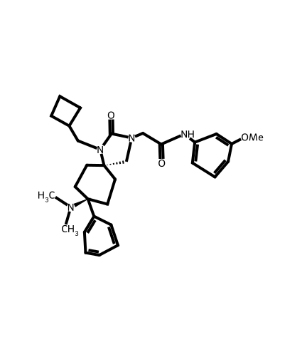 COc1cccc(NC(=O)CN2C[C@]3(CC[C@](c4ccccc4)(N(C)C)CC3)N(CC3CCC3)C2=O)c1